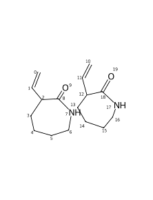 C=CC1CCCCNC1=O.C=CC1CCCCNC1=O